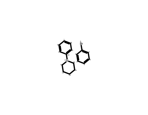 Brc1ccccc1.c1ccc(N2CCCCC2)cc1